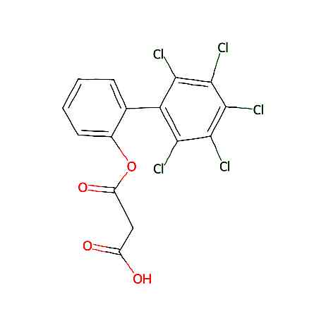 O=C(O)CC(=O)Oc1ccccc1-c1c(Cl)c(Cl)c(Cl)c(Cl)c1Cl